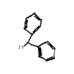 CC(C)C(c1ccccc1)c1ccccc1